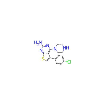 Nc1nc(N2CCNCC2)c2c(-c3ccc(Cl)cc3)csc2n1